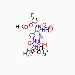 COCOc1cc(F)ccc1-c1cc(-c2cccc(NC(=O)[C@H](COC)N(C(=O)O)C(C)(C)C)c2)c(C#N)c(NC(=O)c2ccco2)n1